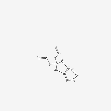 C=CCC1(CC=C)Oc2ccccc2O1